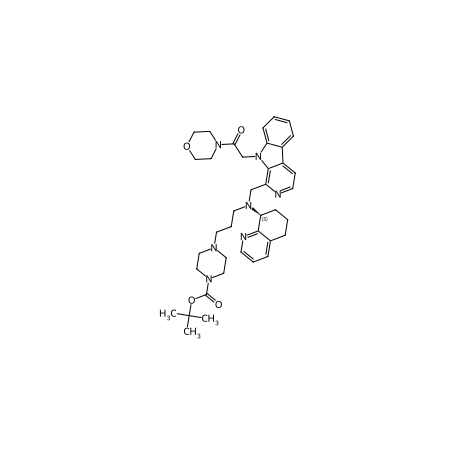 CC(C)(C)OC(=O)N1CCN(CCCN(Cc2nccc3c4ccccc4n(CC(=O)N4CCOCC4)c23)[C@H]2CCCc3cccnc32)CC1